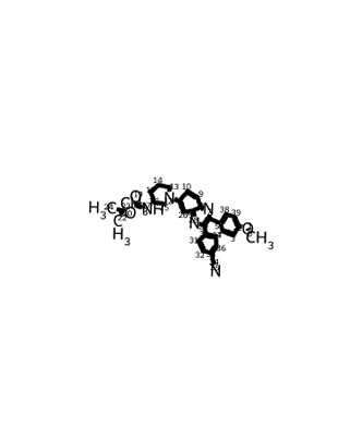 COc1ccc(-c2nc3ccc(N4CCC[C@H](NC(=O)OC(C)(C)C)C4)cc3nc2-c2ccc(C#N)cc2)cc1